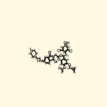 CN1CCN(CCNc2ccc3c(c2)C(=O)N(CC(=O)O[C@@H](Cc2c(Cl)c[n+](O)cc2Cl)c2ccc(OC(F)F)c(OCC4CC4)c2)C3=O)CC1